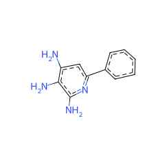 Nc1cc(-c2ccccc2)nc(N)c1N